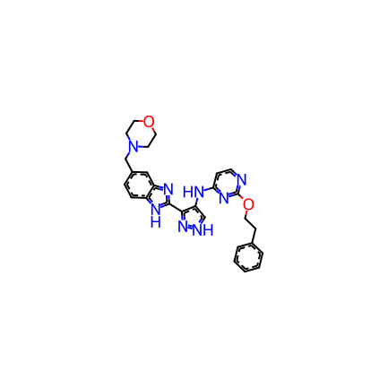 c1ccc(CCOc2nccc(Nc3c[nH]nc3-c3nc4cc(CN5CCOCC5)ccc4[nH]3)n2)cc1